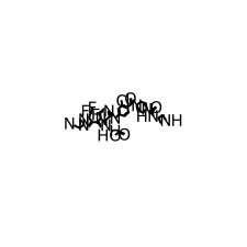 N#CCn1cc(-c2cnc3c(Nc4ccc(C(=O)N5CCN(C(=O)NC6CNC6)CC5)c(Cl)c4)nccn23)c(C(F)(F)F)n1.O=CO